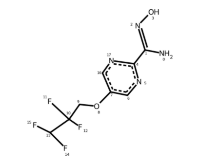 N/C(=N\O)c1ncc(OCC(F)(F)C(F)F)cn1